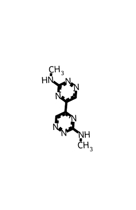 CNc1nncc(-c2cnnc(NC)n2)n1